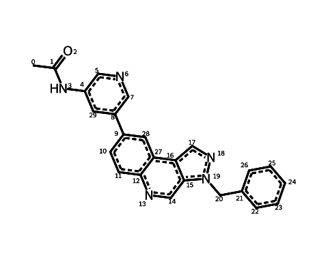 CC(=O)Nc1cncc(-c2ccc3ncc4c(cnn4Cc4ccccc4)c3c2)c1